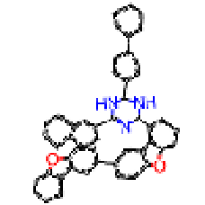 c1ccc(-c2ccc(C3NC(c4ccc5ccccc5c4)=NC(c4cccc5oc6ccc(-c7ccc8oc9ccccc9c8c7)cc6c45)N3)cc2)cc1